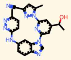 Cc1ccc(Nc2ccc3ncn(-c4cc(C(C)O)cc(-n5nc(C#N)cc5C)n4)c3c2)nn1